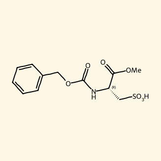 COC(=O)[C@H](CS(=O)(=O)O)NC(=O)OCc1ccccc1